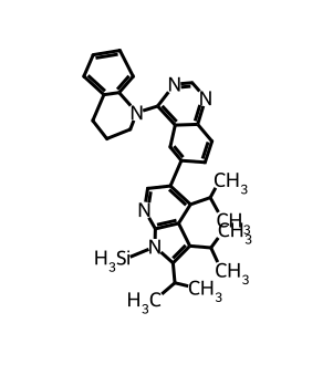 CC(C)c1c(-c2ccc3ncnc(N4CCCc5ccccc54)c3c2)cnc2c1c(C(C)C)c(C(C)C)n2[SiH3]